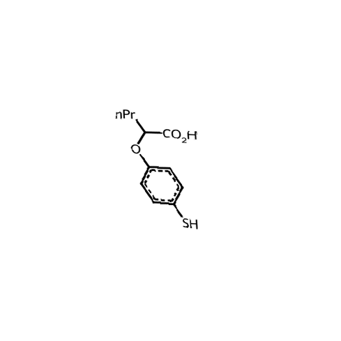 CCCC(Oc1ccc(S)cc1)C(=O)O